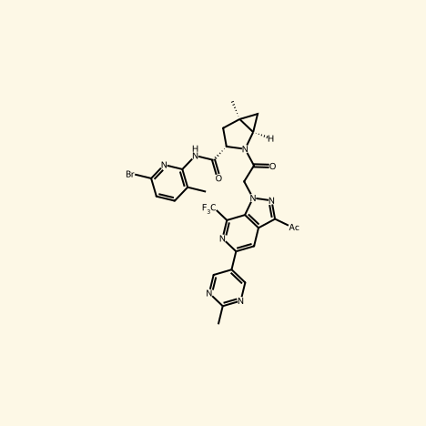 CC(=O)c1nn(CC(=O)N2[C@H](C(=O)Nc3nc(Br)ccc3C)C[C@@]3(C)C[C@@H]23)c2c(C(F)(F)F)nc(-c3cnc(C)nc3)cc12